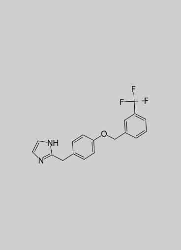 FC(F)(F)c1cccc(COc2ccc(Cc3ncc[nH]3)cc2)c1